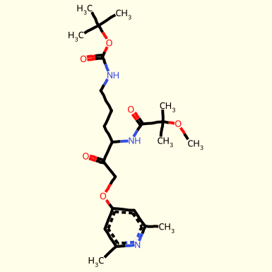 COC(C)(C)C(=O)NC(CCCNC(=O)OC(C)(C)C)C(=O)COc1cc(C)nc(C)c1